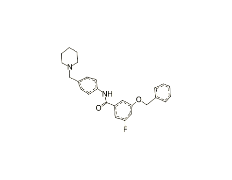 O=C(Nc1ccc(CN2CCCCC2)cc1)c1cc(F)cc(OCc2ccccc2)c1